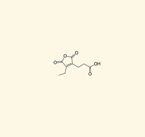 CCC1=C(CCC(=O)O)C(=O)OC1=O